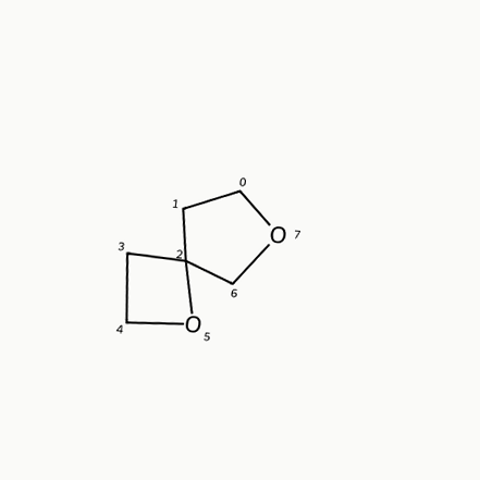 C1CC2(CCO2)CO1